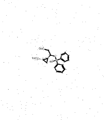 CCOC(=O)[C@H]1C[C@@H]1C(CC=O)O[Si](c1ccccc1)(c1ccccc1)C(C)(C)C